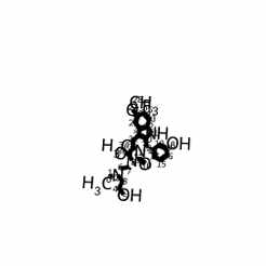 CCN(CCO)CCN1C(=O)N2[C@H](c3cccc(O)c3)c3[nH]c4cc(F)c(OC)cc4c3C[C@@]2(C)C1=O